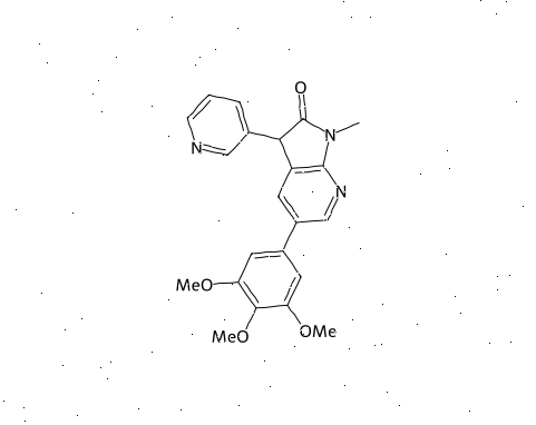 COc1cc(-c2cnc3c(c2)C(c2cccnc2)C(=O)N3C)cc(OC)c1OC